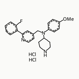 COc1ccc(N(Cc2ccnc(-c3ccccc3F)c2)C2CCNCC2)cc1.Cl.Cl